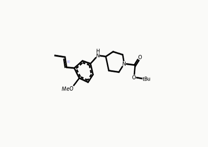 C/C=C/c1cc(NC2CCN(C(=O)OC(C)(C)C)CC2)ccc1OC